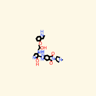 CN1CCC(N2C(=O)c3cc4nc(-c5c(NC[C@@H](O)COc6cccc7[nH]ccc67)ccnc5O)[nH]c4cc3C2=O)CC1